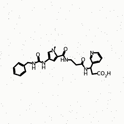 Cn1cc(NC(=O)NCc2ccccc2)cc1C(=O)NCCC(=O)NC(CC(=O)O)c1cccnc1